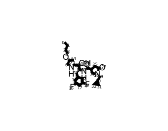 CCCCO[C@H]1CN[C@@H]([C@@H](O)[C@H](Cc2cc(F)cc(F)c2)NC(=O)C2CC(=O)N(CC3CC3)C2)C1